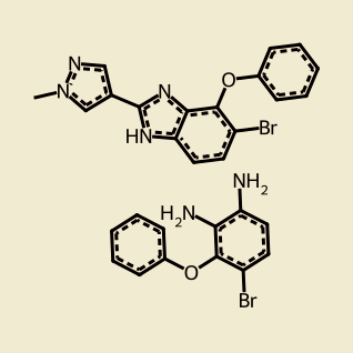 Cn1cc(-c2nc3c(Oc4ccccc4)c(Br)ccc3[nH]2)cn1.Nc1ccc(Br)c(Oc2ccccc2)c1N